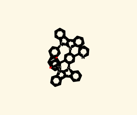 c1ccc(-n2c3ccccc3c3c4ccccc4n(-c4cc(-c5ccccn5)c(-n5c6ccccc6c6c7ccccc7n(-c7ccccc7)c65)cc4-c4ccccn4)c32)cc1